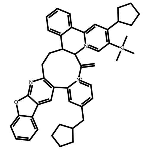 C=C1C2C(CCc3nc4oc5ccccc5c4cc3-c3cc(CC4CCCC4)cc[n+]31)c1ccccc1-c1cc(C3CCCC3)c([Si](C)(C)C)c[n+]12